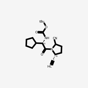 C#C[C@H]1CCC(C#N)N1C(=O)[C@@H](NC(=O)OC(C)(C)C)C1CCCC1